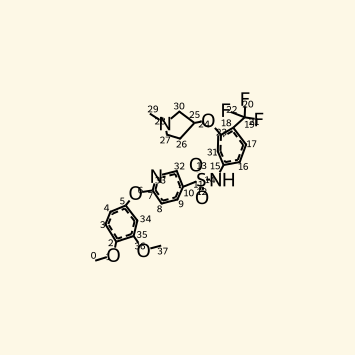 COc1ccc(Oc2ccc(S(=O)(=O)Nc3ccc(C(F)(F)F)c(OC4CCN(C)C4)c3)cn2)cc1OC